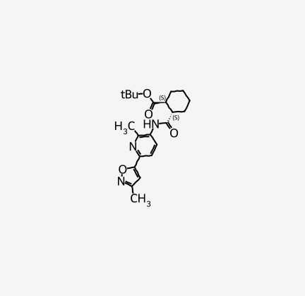 Cc1cc(-c2ccc(NC(=O)[C@H]3CCCC[C@@H]3C(=O)OC(C)(C)C)c(C)n2)on1